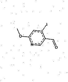 COc1cc(I)c(C=O)cn1